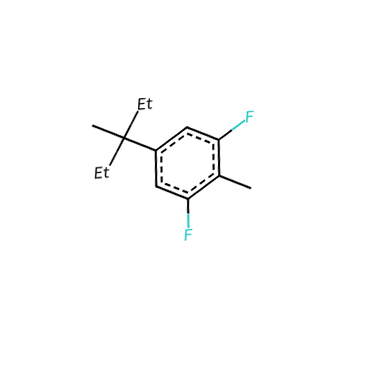 CCC(C)(CC)c1cc(F)c(C)c(F)c1